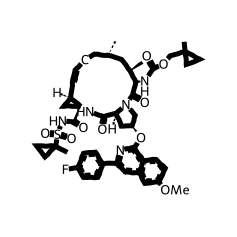 COc1ccc2c(O[C@@H]3C[C@H]4C(=O)N[C@]5(C(=O)NS(=O)(=O)C6(C)CC6)C[C@H]5/C=C\CC[C@H](C)C[C@@H](C)[C@H](NC(=O)OCC5(C)CC5)C(=O)N4C3)nc(-c3ccc(F)cc3)cc2c1